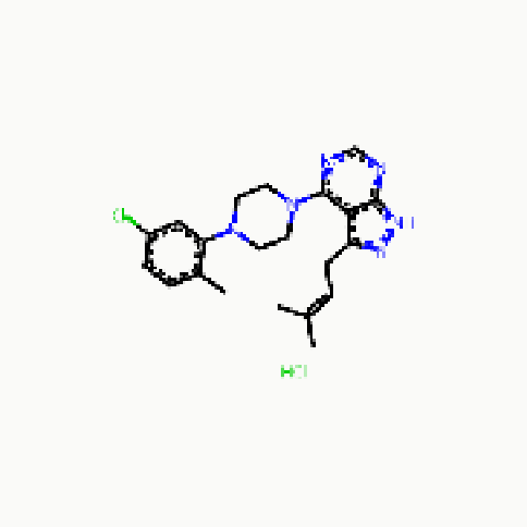 CC(C)=CCc1n[nH]c2ncnc(N3CCN(c4cc(Cl)ccc4C)CC3)c12.Cl